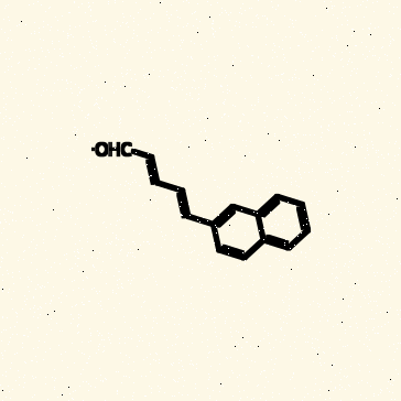 O=[C]C=CC=Cc1ccc2ccccc2c1